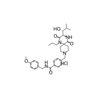 CCCN1C(=O)[C@@H]([C@H](O)C(C)C)NC(=O)C12CCN(Cc1ccc(C(=O)NCc3ccc(OC)cc3)cc1)CC2.Cl